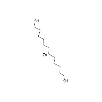 SCCCCCCCCCCCCS.[Zn]